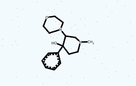 CN1CCC(O)(c2ccccc2)C(N2CCOCC2)C1